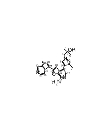 Cc1nn(CC(C)(C)O)cc1-c1cnc(N)c2oc(-c3csc4cnccc34)cc12